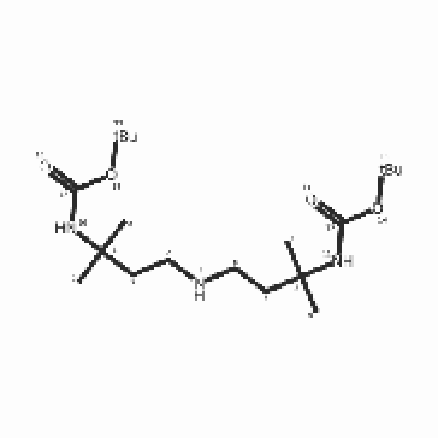 CC(C)(CCNCCC(C)(C)NC(=O)OC(C)(C)C)NC(=O)OC(C)(C)C